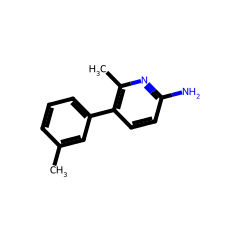 Cc1cccc(-c2ccc(N)nc2C)c1